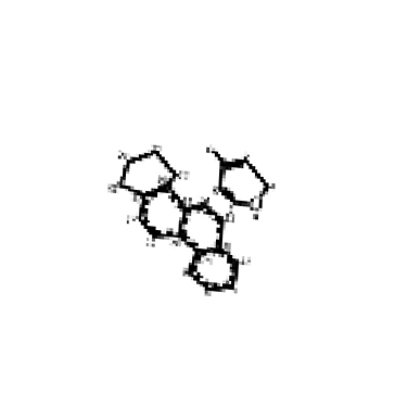 CC1=CCOC=C1.c1ccc2c(c1)ccc1c3c(ccc12)CCCC3